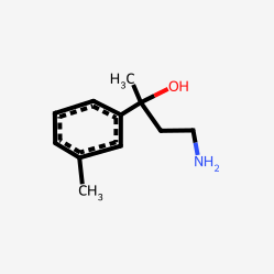 Cc1cccc(C(C)(O)CCN)c1